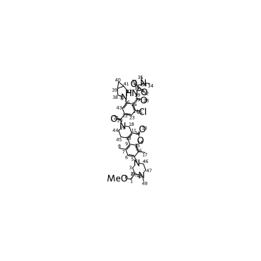 COC[C@H]1CN(c2cc(C)c3c4c(c(=O)oc3c2C)CN(C(=O)c2cc(Cl)c(C(=O)NS(=O)(=O)N(C)C)c(N3CC5CC5C3)c2)CC4)CCN1C